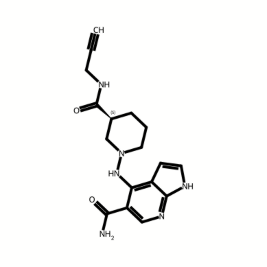 C#CCNC(=O)[C@H]1CCCN(Nc2c(C(N)=O)cnc3[nH]ccc23)C1